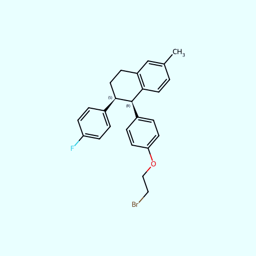 Cc1ccc2c(c1)CC[C@H](c1ccc(F)cc1)[C@@H]2c1ccc(OCCBr)cc1